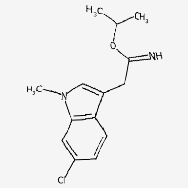 CC(C)OC(=N)Cc1cn(C)c2cc(Cl)ccc12